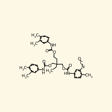 CCC(CCOC(=O)Nc1ccc(C)c(C)c1)(COC(=O)Nc1ccc(C)c(C)c1)COC(=O)Nc1ccc(C)c(N=C=O)c1